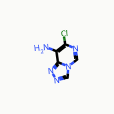 Nc1c(Cl)ncn2cnnc12